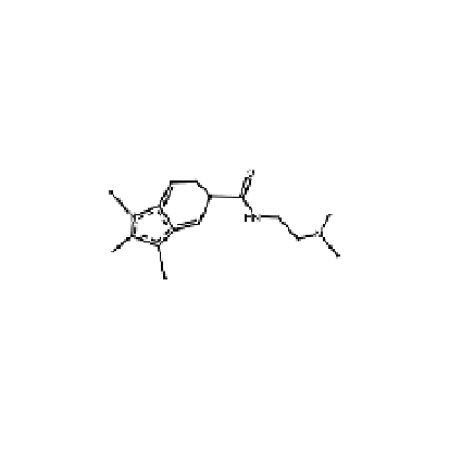 Cc1c(C)n(C)c2c1=CC(C(=O)NCCN(C)C)CC=2